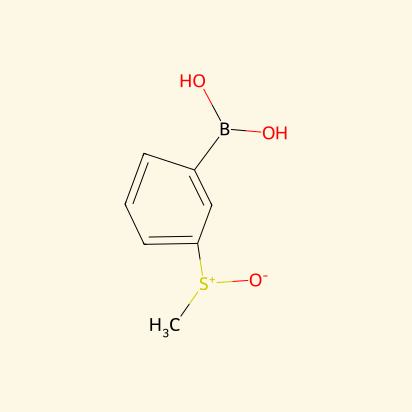 C[S+]([O-])c1cccc(B(O)O)c1